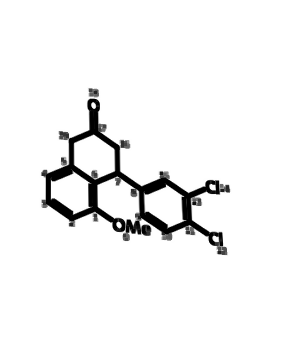 COc1cccc2c1C(c1ccc(Cl)c(Cl)c1)CC(=O)C2